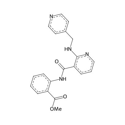 COC(=O)c1ccccc1NC(=O)c1cccnc1NCc1ccncc1